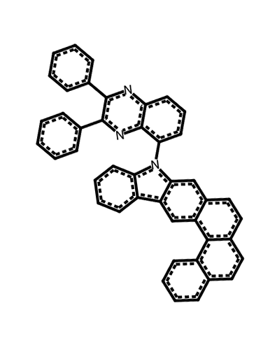 c1ccc(-c2nc3cccc(-n4c5ccccc5c5cc6c(ccc7ccc8ccccc8c76)cc54)c3nc2-c2ccccc2)cc1